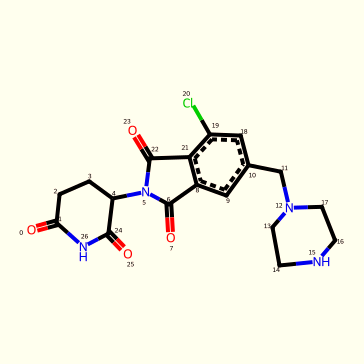 O=C1CCC(N2C(=O)c3cc(CN4CCNCC4)cc(Cl)c3C2=O)C(=O)N1